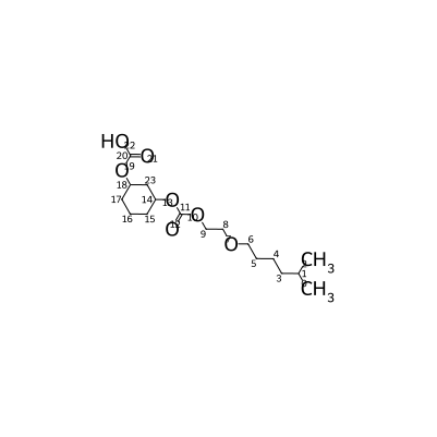 CC(C)CCCCOCCOC(=O)OC1CCCC(OC(=O)O)C1